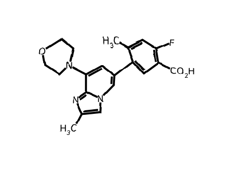 Cc1cn2cc(-c3cc(C(=O)O)c(F)cc3C)cc(N3CCOCC3)c2n1